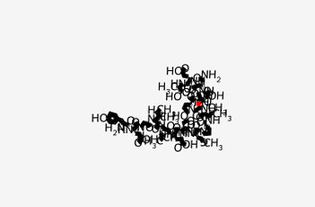 CC[C@H](C)[C@H](NC(=O)CNC(=O)[C@H](CCC(=O)O)NC(=O)[C@@H](N)Cc1ccc(O)cc1)C(=O)N[C@@H](CC(C)C)C(=O)N[C@@H](CCC(=O)O)C(=O)N[C@@H](CC(=O)O)C(=O)N[C@@H](CCSC)C(=O)N1CCC[C@H]1C(=O)N[C@H](C(=O)N[C@@H](CC(=O)O)C(=O)N1CCC[C@H]1C(=O)N[C@@H](CC(=O)O)C(=O)N[C@@H](CC(N)=O)C(=O)N[C@@H](CCC(=O)O)C(=O)N[C@@H](C)C(=O)O)C(C)C